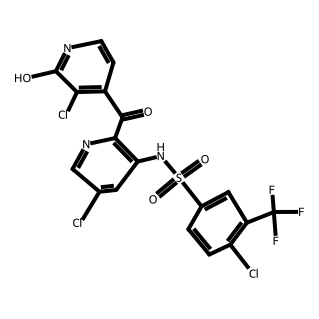 O=C(c1ccnc(O)c1Cl)c1ncc(Cl)cc1NS(=O)(=O)c1ccc(Cl)c(C(F)(F)F)c1